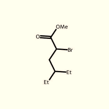 CCC(CC)CC(Br)C(=O)OC